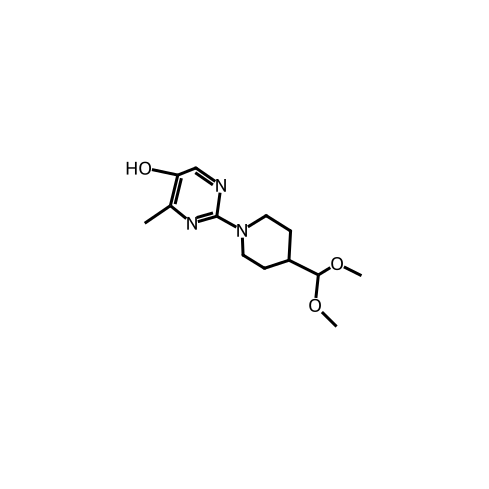 COC(OC)C1CCN(c2ncc(O)c(C)n2)CC1